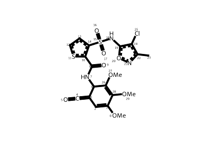 COC1=CC(=C=O)C(NC(=O)c2sccc2S(=O)(=O)Nc2onc(C)c2Cl)C(OC)=C1OC